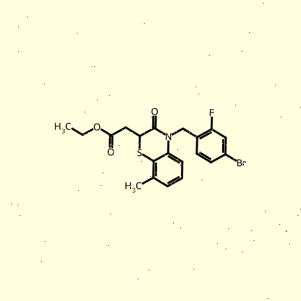 CCOC(=O)CC1Sc2c(C)cccc2N(Cc2ccc(Br)cc2F)C1=O